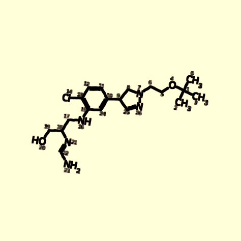 CC(C)(C)OCCN1CC(c2ccc(Cl)c(NCC(CO)/N=C/N)c2)C=N1